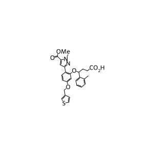 COC(=O)c1cc(-c2ccc(OCc3ccsc3)cc2OC(CCC(=O)O)c2ccccc2C)nn1C